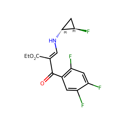 CCOC(=O)C(=CN[C@@H]1C[C@H]1F)C(=O)c1cc(F)c(F)cc1F